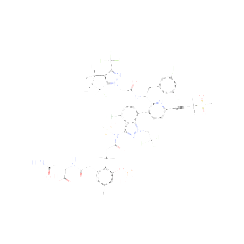 Cc1cc(CC(=O)N[C@@H](CC(N)=O)C(=O)O)c(C(C)(C)CC(=O)N(c2nn(CC(F)(F)F)c3c(-c4ccc(C#CC(C)(C)S(C)(=O)=O)nc4[C@H](Cc4cc(F)cc(F)c4)NC(=O)Cn4nc(C(F)(F)F)c5c4C(F)(F)[C@@H]4C[C@H]54)ccc(Cl)c23)S(C)(=O)=O)c(OP(=O)(O)O)c1